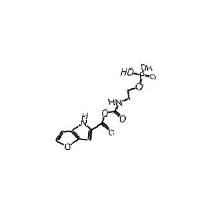 O=C(NCCOP(=O)(O)O)OC(=O)c1cc2occc2[nH]1